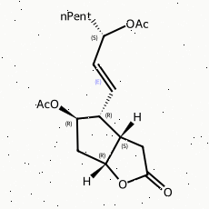 CCCCC[C@@H](/C=C/[C@@H]1[C@@H]2CC(=O)O[C@@H]2C[C@H]1OC(C)=O)OC(C)=O